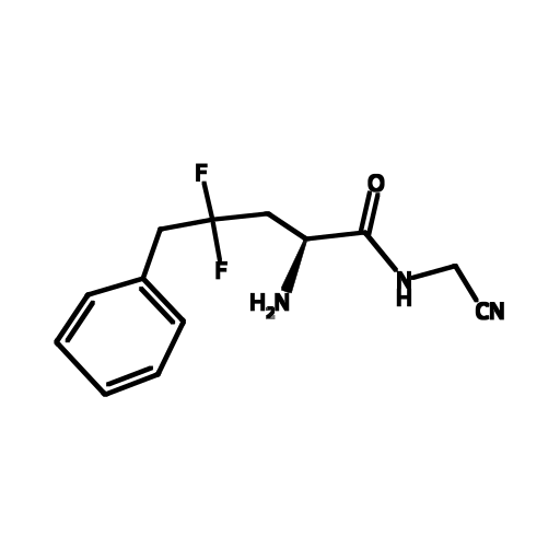 N#CCNC(=O)[C@@H](N)CC(F)(F)Cc1ccccc1